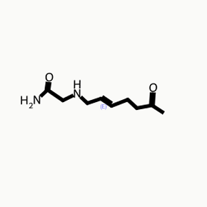 CC(=O)CC/C=C/CNCC(N)=O